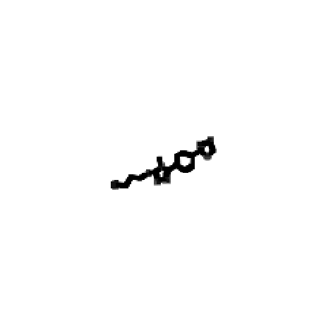 Cn1c(SCCCCl)nnc1-c1ccc(-c2nnco2)cc1